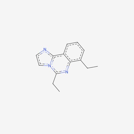 CCc1cccc2c1nc(CC)n1ccnc21